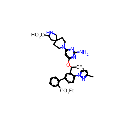 CCOC(=O)c1ccccc1-c1ccc(-n2ccc(C)n2)c(C(Oc2cc(N3CCC4(CC3)CNC(C(=O)O)C4)nc(N)n2)C(F)(F)F)c1